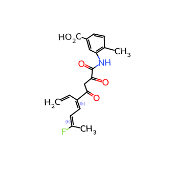 C=C/C(=C\C=C(/C)F)C(=O)CC(=O)C(=O)Nc1cc(C(=O)O)ccc1C